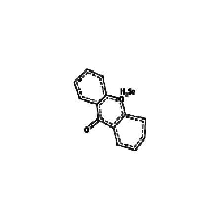 O=c1c2ccccc2oc2ccccc12.[SeH2]